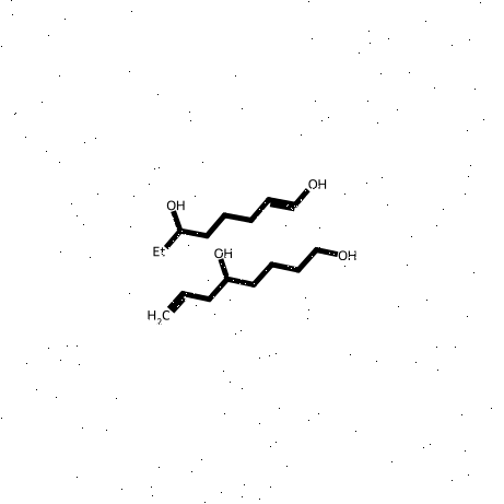 C=CCC(O)CCCCO.CCC(O)CCCC=CO